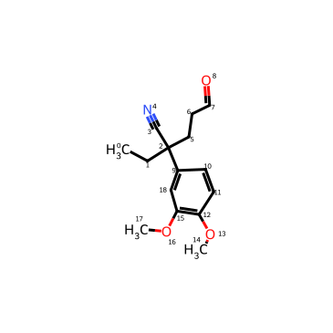 CCC(C#N)(CCC=O)c1ccc(OC)c(OC)c1